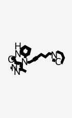 Cc1nn(C)c2c1N(CC#CCCCN1CCCCCC1)c1ccccc1NC2=O